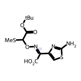 CSC(O/N=C(\C(=O)O)c1csc(N)n1)C(=O)OC(C)(C)C